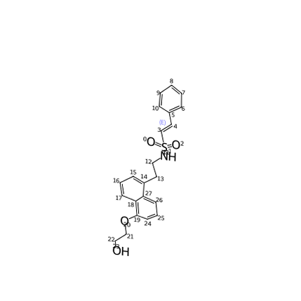 O=S(=O)(/C=C/c1ccccc1)NCCc1cccc2c(OCCO)cccc12